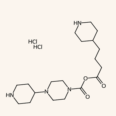 Cl.Cl.O=C(CCCC1CCNCC1)OC(=O)N1CCN(C2CCNCC2)CC1